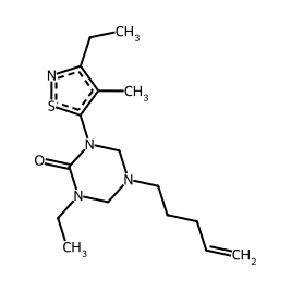 C=CCCCN1CN(CC)C(=O)N(c2snc(CC)c2C)C1